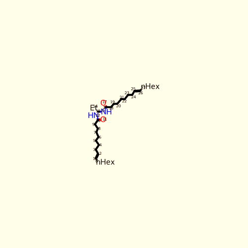 CCCCCCC=CCCCCCCCC(=O)NC(CC)NC(=O)CCCCCCCC=CCCCCCC